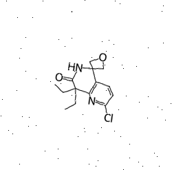 CCC1(CC)C(=O)NC2(COC2)c2ccc(Cl)nc21